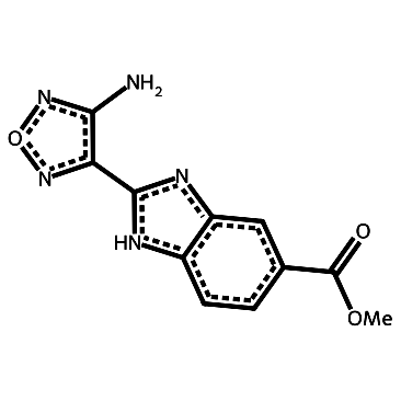 COC(=O)c1ccc2[nH]c(-c3nonc3N)nc2c1